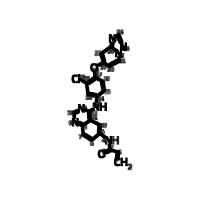 C=CC(=O)Nc1ccc2ncnc(Nc3ccc(Oc4ccn5ncnc5c4)c(Cl)c3)c2c1